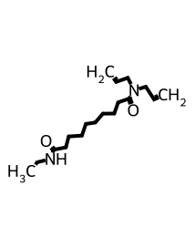 C=CCN(CC=C)C(=O)CCCCCCCCC(=O)NCC